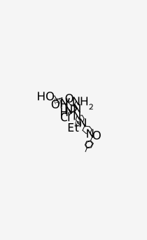 CC[C@H]1CN(c2nc(N)c(C(=O)NC[C@H](O)CO)nc2Cl)CCN1C1CCN(C(=O)c2ccc(C)cc2)CC1